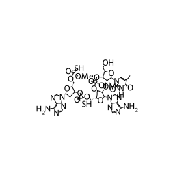 CO[C@@H]1[C@H](OP(=O)(O)O[C@H]2C[C@H](n3cc(C)c(=O)[nH]c3=O)O[C@@H]2CO)[C@@H](COP(=O)(S)O[C@H]2C[C@H](n3cnc4c(N)ncnc43)O[C@@H]2COP(=O)(S)OC)O[C@H]1n1cnc2c(N)ncnc21